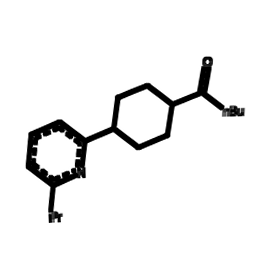 CCCCC(=O)C1CCC(c2cccc(C(C)C)n2)CC1